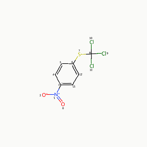 O=[N+]([O-])c1ccc(SC(Cl)(Cl)Cl)cc1